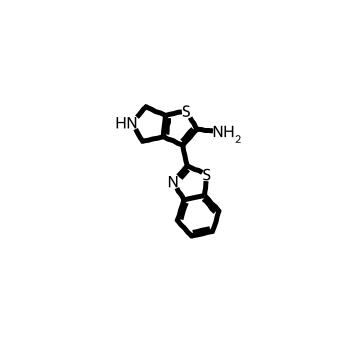 Nc1sc2c(c1-c1nc3ccccc3s1)CNC2